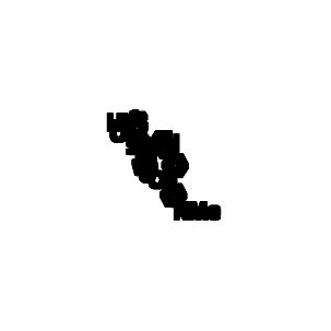 CNC1CCN(C(=O)c2cccc(-c3nccc(-c4c(N5CCOCC5)sc5c4CC(C)(C)NC5=O)n3)c2)CC1